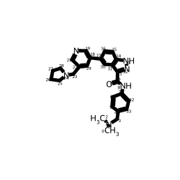 CN(C)Cc1ccc(NC(=O)c2n[nH]c3ccc(-c4cncc(CN5CCCC5)c4)cc23)cc1